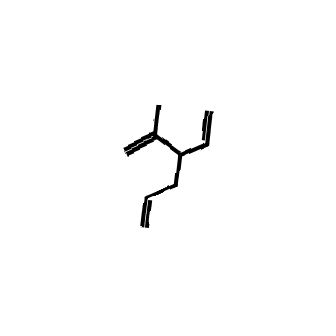 C=CC[C](C=C)C(=C)C